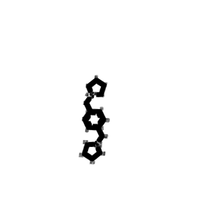 c1cc(C[S+]2CCCC2)ccc1C[S+]1CCCC1